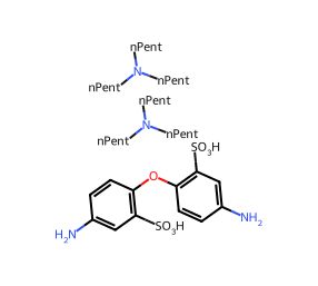 CCCCCN(CCCCC)CCCCC.CCCCCN(CCCCC)CCCCC.Nc1ccc(Oc2ccc(N)cc2S(=O)(=O)O)c(S(=O)(=O)O)c1